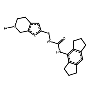 CC(=O)N1CCc2cc(SNC(=O)Nc3c4c(cc5c3CCC5)CCC4)sc2C1